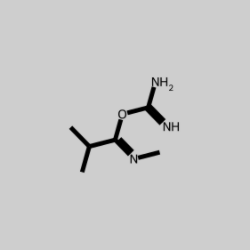 C/N=C(\OC(=N)N)C(C)C